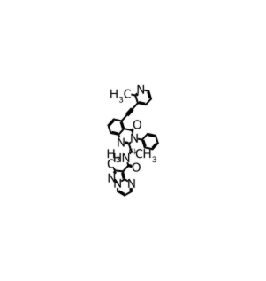 Cc1ncccc1C#Cc1cccc2nc([C@H](C)NC(=O)c3c(C)nn4cccnc34)n(-c3ccccc3)c(=O)c12